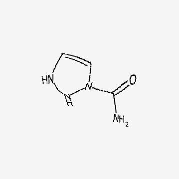 NC(=O)N1C=CNN1